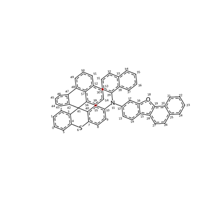 c1ccc2c(c1)Sc1ccc(N(c3ccc4c(c3)oc3c5ccccc5ccc43)c3cccc4ccccc34)cc1C21c2ccccc2-c2cccc3cccc1c23